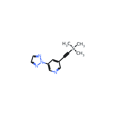 C[Si](C)(C)C#Cc1cncc(-n2nccn2)c1